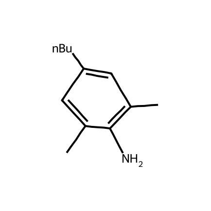 CCCCc1cc(C)c(N)c(C)c1